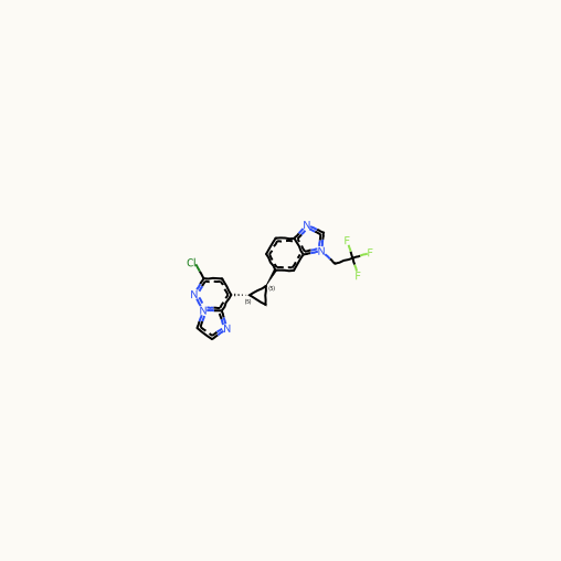 FC(F)(F)Cn1cnc2ccc([C@H]3C[C@@H]3c3cc(Cl)nn4ccnc34)cc21